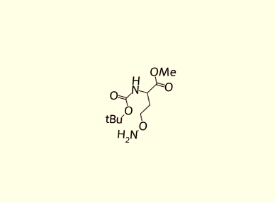 COC(=O)C(CCON)NC(=O)OC(C)(C)C